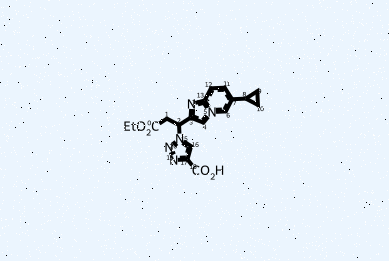 CCOC(=O)CC(c1cn2cc(C3CC3)ccc2n1)n1cc(C(=O)O)nn1